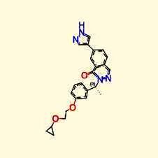 C[C@H](c1cccc(OCCOC2CC2)c1)n1ncc2ccc(-c3cn[nH]c3)cc2c1=O